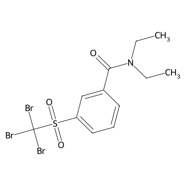 CCN(CC)C(=O)c1cccc(S(=O)(=O)C(Br)(Br)Br)c1